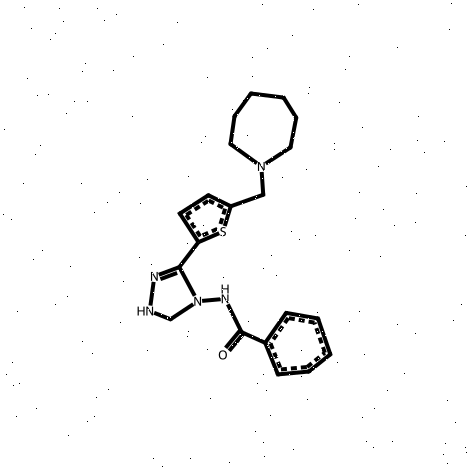 O=C(NN1CNN=C1c1ccc(CN2CCCCCC2)s1)c1ccccc1